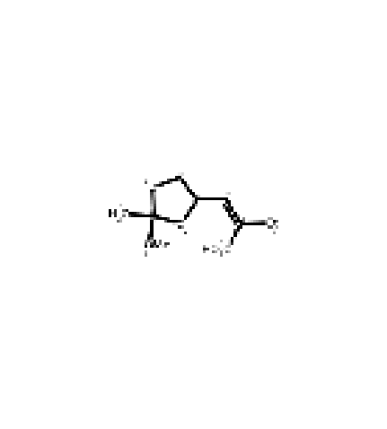 CCC(=CC1COC(C)(OC)O1)C(=O)O